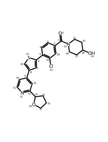 O=C(c1ccc(-c2cc(-c3ccnc(C4CCCO4)c3)cs2)c(Cl)c1)N1CCC(O)CC1